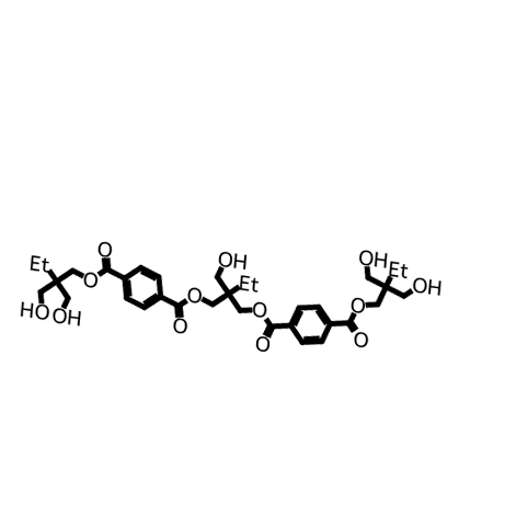 CCC(CO)(CO)COC(=O)c1ccc(C(=O)OCC(CC)(CO)COC(=O)c2ccc(C(=O)OCC(CC)(CO)CO)cc2)cc1